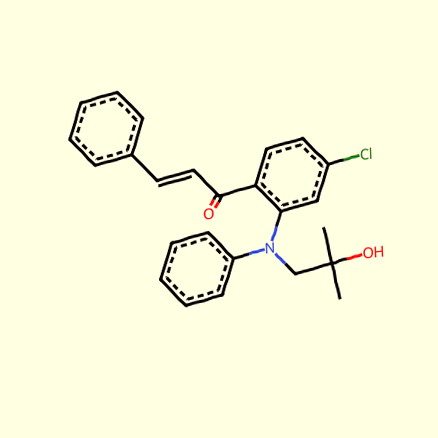 CC(C)(O)CN(c1ccccc1)c1cc(Cl)ccc1C(=O)C=Cc1ccccc1